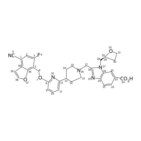 N#Cc1cc(F)c(COc2cccc(C3CCN(Cc4nc5ccc(C(=O)O)cc5n4C[C@@H]4CCO4)CC3)n2)c2occc12